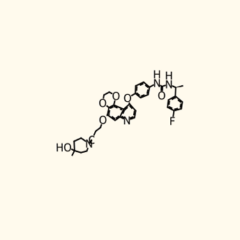 C[C@H](NC(=O)Nc1ccc(Oc2ccnc3cc(OCCCN4CCC(C)(O)CC4)c4c(c23)OCCO4)cc1)c1ccc(F)cc1